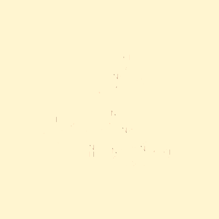 CC(=O)NC1CCN(c2cc(NC3CCC(F)(F)CC3)nc(-c3nc(C)cs3)n2)CC1